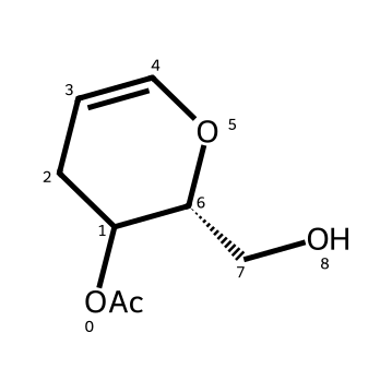 CC(=O)OC1CC=CO[C@@H]1CO